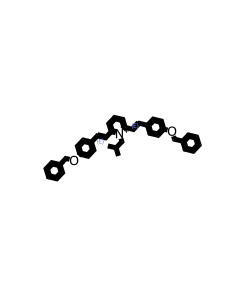 CC(C)C[n+]1c(/C=C/c2ccc(OCc3ccccc3)cc2)cccc1/C=C/c1ccc(OCc2ccccc2)cc1